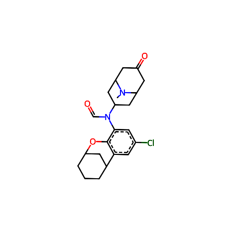 CN1C2CC(=O)CC1CC(N(C=O)c1cc(Cl)cc3c1OC1CCCC3C1)C2